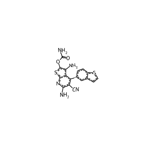 N#Cc1c(N)nc2sc(OC(N)=O)c(N)c2c1-c1ccc2sccc2c1